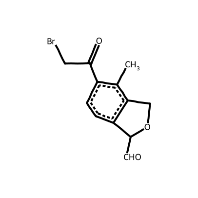 Cc1c(C(=O)CBr)ccc2c1COC2C=O